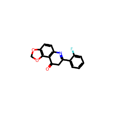 O=C1CC(c2ccccc2F)=Nc2ccc3c(c21)OCO3